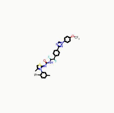 Cc1ccc(C(C)C)c(-n2c(C)cs/c2=N\C(=O)NC(F)C(F)c2ccc(-c3ncn(-c4ccc(OC(F)(F)F)cc4)n3)cc2)c1